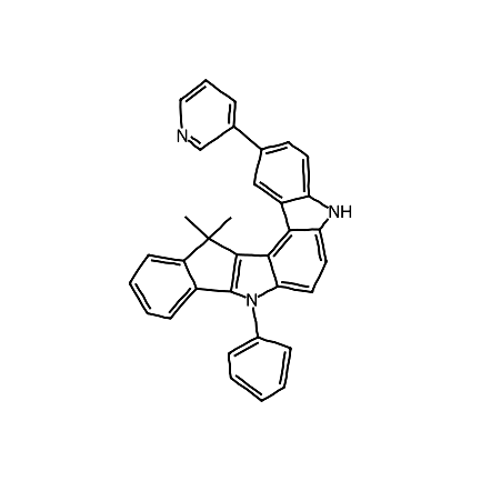 CC1(C)c2ccccc2-c2c1c1c3c(ccc1n2-c1ccccc1)[nH]c1ccc(-c2cccnc2)cc13